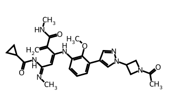 C=C(C(=O)NC)/C(=C\C(=N/C)NC(=O)C1CC1)Nc1cccc(-c2cnn(C3CN(C(C)=O)C3)c2)c1OC